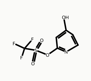 O=S(=O)(Oc1cc(O)ccn1)C(F)(F)F